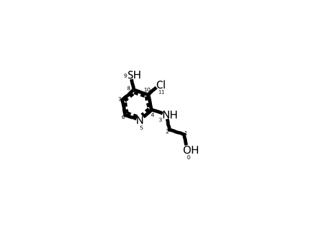 OCCNc1nccc(S)c1Cl